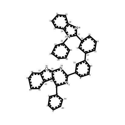 c1ccc(-c2nc(-c3cccc(-c4cccc(-c5nc6ccccc6n5-c5ccccc5)c4)c3)nc3oc4ccccc4c23)cc1